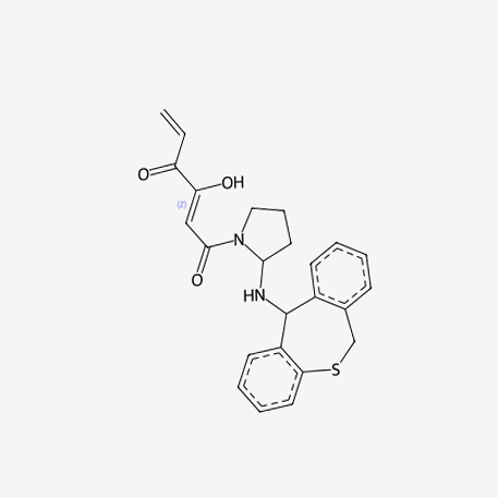 C=CC(=O)/C(O)=C/C(=O)N1CCCC1NC1c2ccccc2CSc2ccccc21